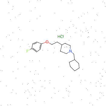 Cl.Fc1ccc(OCCC2CCN(CC3CCCCC3)CC2)cc1